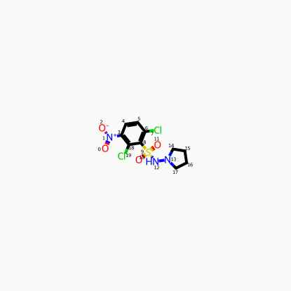 O=[N+]([O-])c1ccc(Cl)c(S(=O)(=O)NN2CCCC2)c1Cl